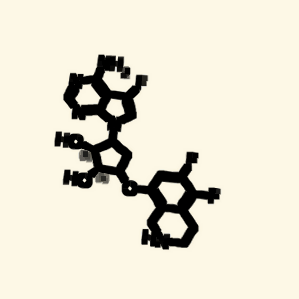 Nc1ncnc2c1c(F)cn2C1CC(Oc2cc(F)c(F)c3c2CNCC3)[C@@H](O)[C@H]1O